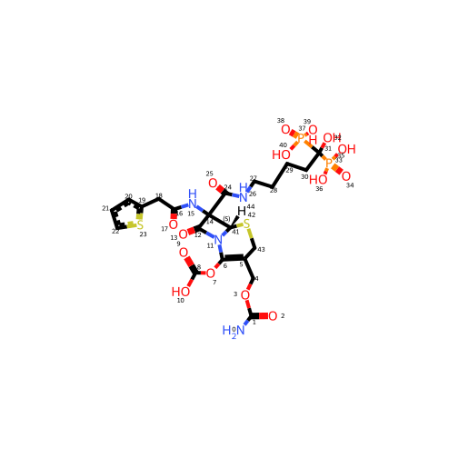 NC(=O)OCC1=C(OC(=O)O)N2C(=O)C(NC(=O)Cc3cccs3)(C(=O)NCCCCC(O)(P(=O)(O)O)P(=O)(O)O)[C@@H]2SC1